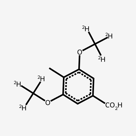 [2H]C([2H])([2H])Oc1cc(C(=O)O)cc(OC([2H])([2H])[2H])c1C